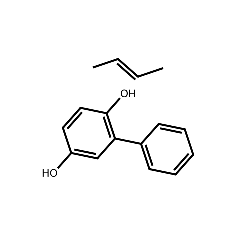 CC=CC.Oc1ccc(O)c(-c2ccccc2)c1